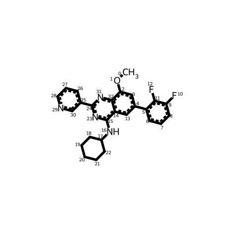 COc1cc(-c2cccc(F)c2F)cc2c(NC3CCCCC3)nc(-c3cccnc3)nc12